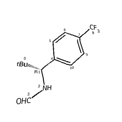 CC(C)(C)[C@@H](NC=O)c1ccc(C(F)(F)F)cc1